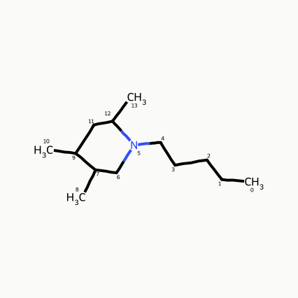 CCCCCN1CC(C)C(C)CC1C